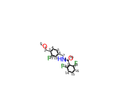 COCc1ccc(CNC(=O)c2c(F)cccc2F)cc1F